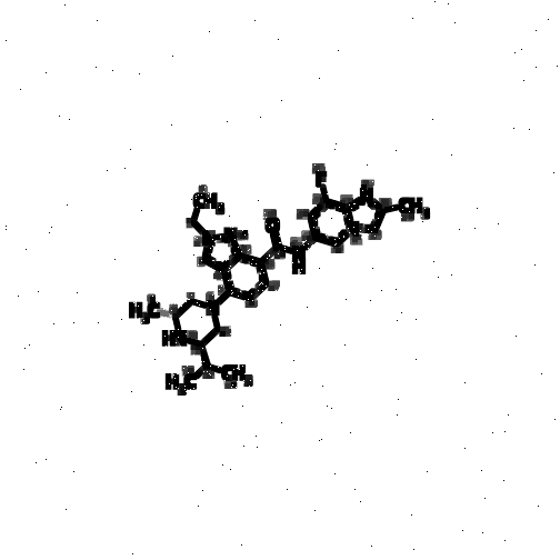 CCn1cc2c(N3C[C@@H](C)N[C@H](C(C)C)C3)ccc(C(=O)Nc3cc(F)c4nc(C)cn4c3)c2n1